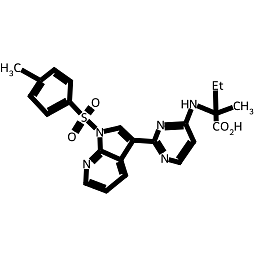 CCC(C)(Nc1ccnc(-c2cn(S(=O)(=O)c3ccc(C)cc3)c3ncccc23)n1)C(=O)O